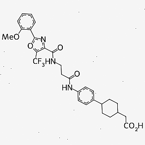 COc1ccccc1-c1nc(C(=O)NCCC(=O)Nc2ccc(C3CCC(CC(=O)O)CC3)cc2)c(C(F)(F)F)o1